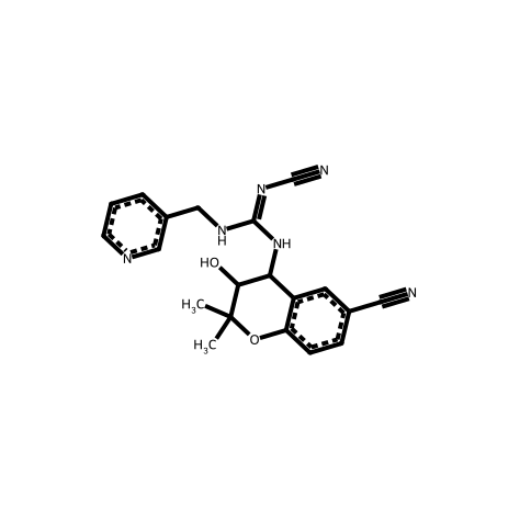 CC1(C)Oc2ccc(C#N)cc2C(N/C(=N\C#N)NCc2cccnc2)C1O